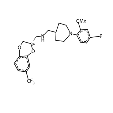 COc1cc(F)ccc1N1CCC(CNC[C@H]2COc3ccc(C(F)(F)F)cc3O2)CC1